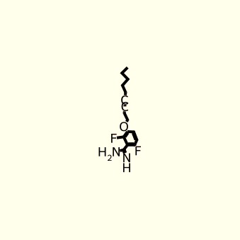 CCCCCCCCCOc1ccc(F)c(C(=N)N)c1F